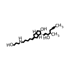 CC#CC[C@H](C)[C@H](O)/C=C/[C@@H]1[C@H]2C/C(=C/CCCCNCCCO)C[C@H]2C[C@H]1O